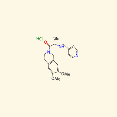 COc1cc2c(cc1OC)CN(C(=O)[C@@H](NCc1ccncc1)C(C)(C)C)CC2.Cl